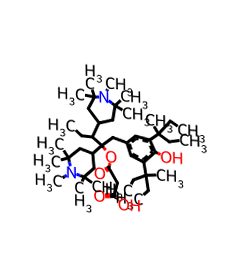 CCC(C1CC(C)(C)N(C)C(C)(C)C1)C(Cc1cc(C(C)(CC)CC)c(O)c(C(C)(CC)CC)c1)(OC(=O)CC(=O)O)C1CC(C)(C)N(C)C(C)(C)C1